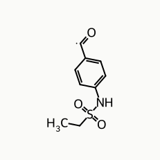 CCS(=O)(=O)Nc1ccc([C]=O)cc1